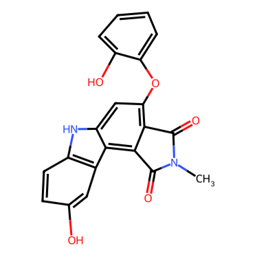 CN1C(=O)c2c(Oc3ccccc3O)cc3[nH]c4ccc(O)cc4c3c2C1=O